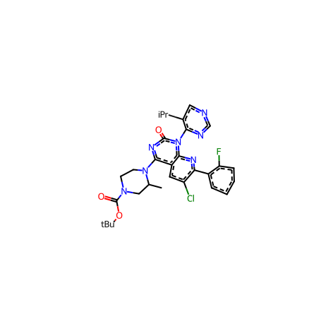 CC(C)c1cncnc1-n1c(=O)nc(N2CCN(C(=O)OC(C)(C)C)CC2C)c2cc(Cl)c(-c3ccccc3F)nc21